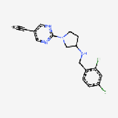 C#Cc1cnc(N2CCC(NCc3ccc(Cl)cc3Cl)C2)nc1